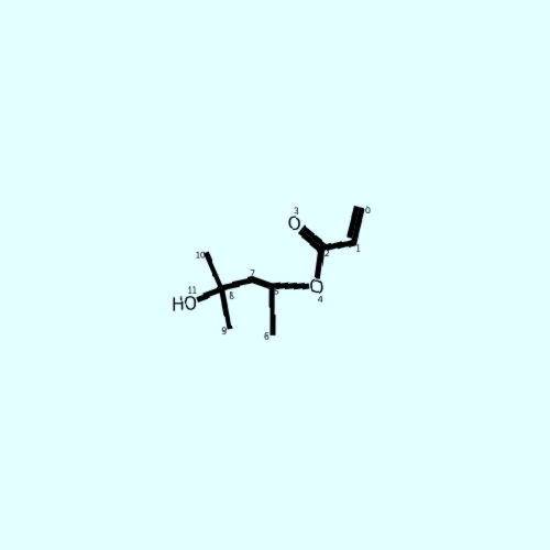 C=CC(=O)OC(C)CC(C)(C)O